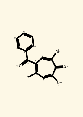 Cc1cc(O)c(=O)c(O)cc1C(=O)c1ccccc1